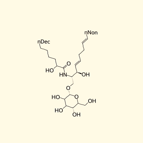 CCCCCCCCC/C=C/CC/C=C/[C@@H](O)[C@H](CO[C@@H]1OC(CO)[C@H](O)C(O)C1O)NC(=O)C(O)CCCCCCCCCCCCCC